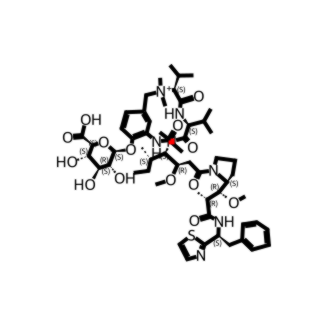 CC[C@H](C)[C@@H]([C@@H](CC(=O)N1CCC[C@H]1[C@H](OC)[C@@H](C)C(=O)N[C@@H](Cc1ccccc1)c1nccs1)OC)N(C)C(=O)[C@@H](NC(=O)[C@H](C(C)C)[N+](C)(C)Cc1ccc(O[C@@H]2O[C@H](C(=O)O)[C@@H](O)[C@H](O)[C@H]2O)c(NC(C)=O)c1)C(C)C